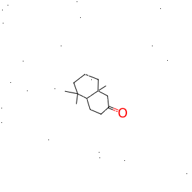 CC1(C)CCCC2(C)CC(=O)CCC12